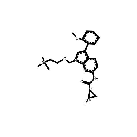 COc1ccccc1-c1cn(COCC[Si](C)(C)C)c2nc(NC(=O)[C@H]3C[C@H]3F)ccc12